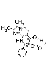 CO[C@@H]1c2ccn3c(C)c(C)nc3c2N[C@H](c2ccccc2)[C@H]1OC=O